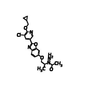 CC(=O)N(N)[C@@H](C)COc1ccc2nc(-c3cnc(OCC4CC4)c(Cl)c3)oc2c1